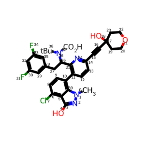 Cn1nc(O)c2c(Cl)ccc(-c3ccc(C#CC4(O)CCOCC4)nc3C(Cc3cc(F)cc(F)c3)N(C(=O)O)C(C)(C)C)c21